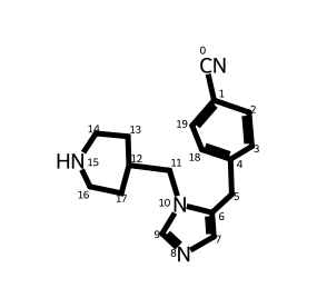 N#Cc1ccc(Cc2cncn2CC2CCNCC2)cc1